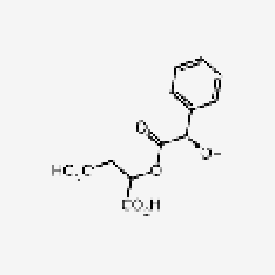 O=C(O)CC(OC(=O)[C@H](O)c1ccccc1)C(=O)O